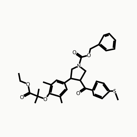 CCOC(=O)C(C)(C)Oc1c(C)cc(C2CN(C(=O)OCc3ccccc3)CC2C(=O)c2ccc(SC)cc2)cc1C